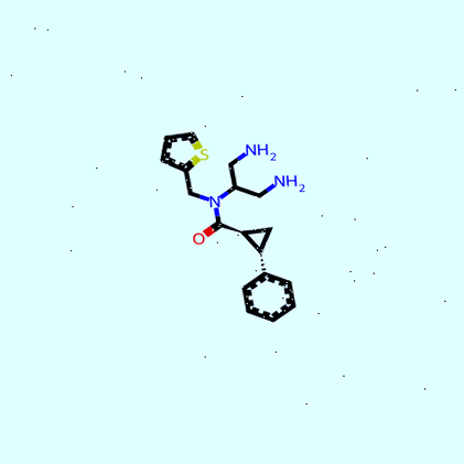 NCC(CN)N(Cc1cccs1)C(=O)[C@H]1C[C@@H]1c1ccccc1